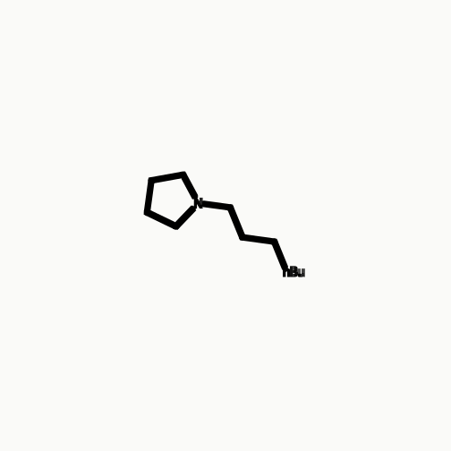 CCCCCCCN1CCCC1